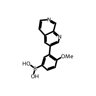 COc1ccc(B(O)O)cc1-c1cnc2cnccc2c1